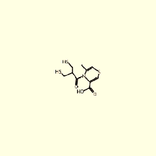 CC1=CSC=C(C(=O)O)N1C(=O)C(CS)CS